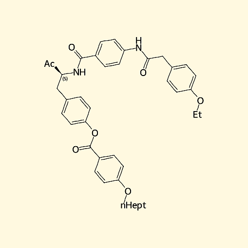 CCCCCCCOc1ccc(C(=O)Oc2ccc(C[C@H](NC(=O)c3ccc(NC(=O)Cc4ccc(OCC)cc4)cc3)C(C)=O)cc2)cc1